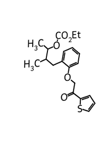 CCOC(=O)OC(C)C(C)Cc1ccccc1OCC(=O)c1cccs1